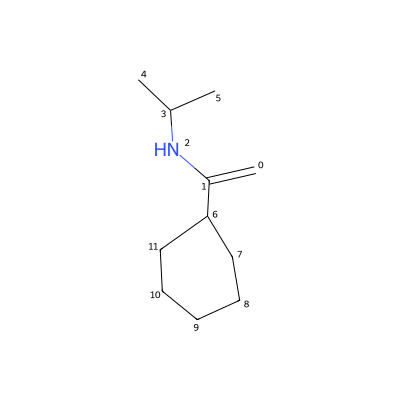 C=C(NC(C)C)C1CCCCC1